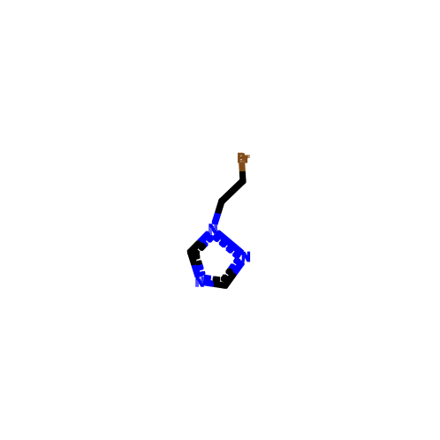 BrCCn1cncn1